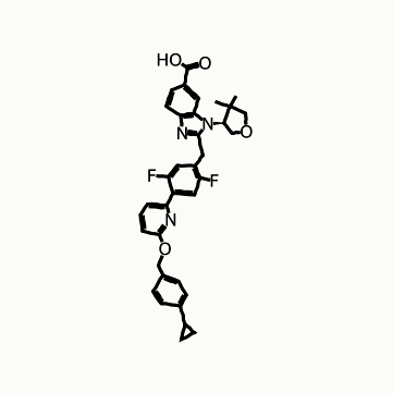 CC1(C)COC[C@H]1n1c(Cc2cc(F)c(-c3cccc(OCc4ccc(C5CC5)cc4)n3)cc2F)nc2ccc(C(=O)O)cc21